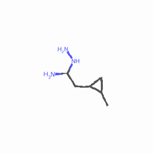 CC1CC1C[C@@H](N)NN